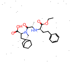 CCOC(=O)[C@@H](CCc1ccccc1)N[C@@H](C)C(=O)N1C[C@]2(CC3CCC2CC3)C[C@H]1C(=O)O